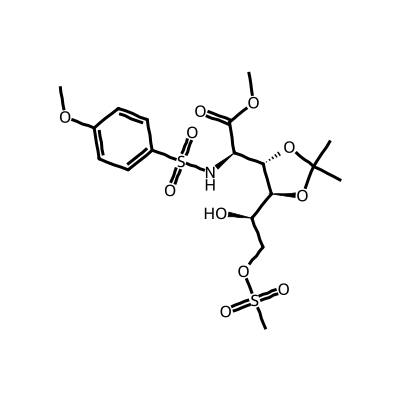 COC(=O)[C@H](NS(=O)(=O)c1ccc(OC)cc1)[C@@H]1OC(C)(C)O[C@H]1[C@H](O)COS(C)(=O)=O